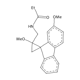 CCC(=O)NCC1(OC)CC12c1ccccc1-c1ccc(OC)cc12